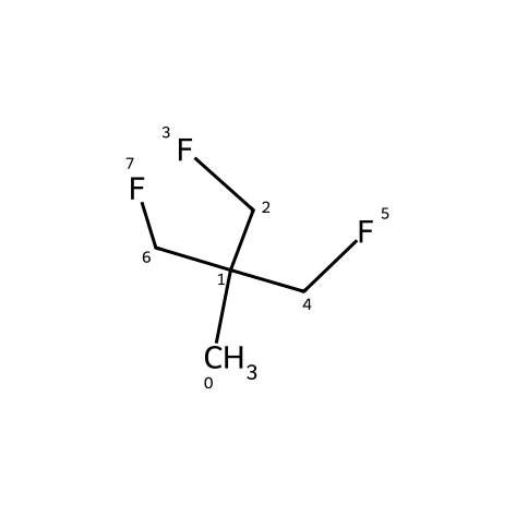 CC(CF)(CF)CF